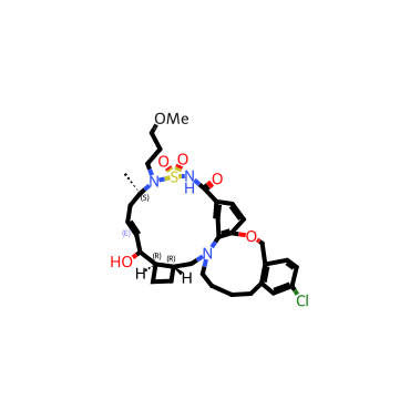 COCCCN1[C@@H](C)C/C=C/C(O)[C@@H]2CC[C@H]2CN2CCCCc3cc(Cl)ccc3COc3ccc(cc32)C(=O)NS1(=O)=O